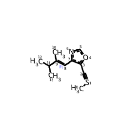 CS#Cc1ocnc1/C=C(\C)C(C)C